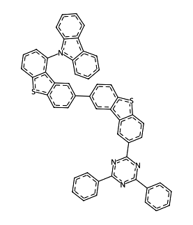 c1ccc(-c2nc(-c3ccccc3)nc(-c3ccc4sc5ccc(-c6ccc7sc8cccc(-n9c%10ccccc%10c%10ccccc%109)c8c7c6)cc5c4c3)n2)cc1